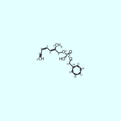 C#C/C=C\C=C(/C)COP(=O)(O)OCc1ccccc1